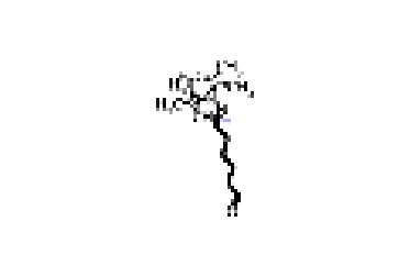 C[Si](C)(C)N(/N=C/CCCCC=O)[Si](C)(C)C